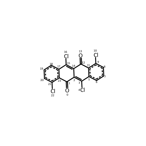 O=C1C2=C(Cl)c3cccc(Cl)c3C(=O)C2=C(Cl)c2cccc(Cl)c21